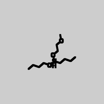 CCCCO[SiH](CCCC)OCCOC